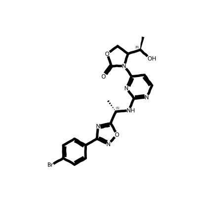 C[C@H](Nc1nccc(N2C(=O)OCC2[C@@H](C)O)n1)c1nc(-c2ccc(Br)cc2)no1